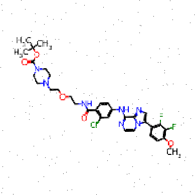 COc1ccc(-c2cnc3c(Nc4ccc(C(=O)NCCOCCN5CCN(C(=O)OC(C)(C)C)CC5)c(Cl)c4)nccn23)c(F)c1F